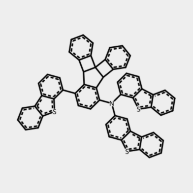 c1ccc2c(c1)C1c3c(-c4cccc5c4sc4ccccc45)ccc(N(c4ccc5sc6ccccc6c5c4)c4cccc5c4sc4ccccc45)c3C3c4ccccc4C213